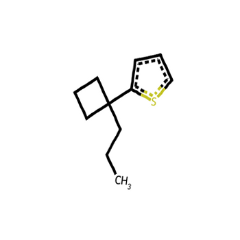 CCCC1(c2cccs2)CCC1